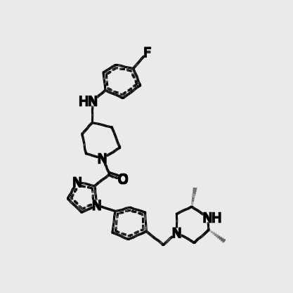 C[C@@H]1CN(Cc2ccc(-n3ccnc3C(=O)N3CCC(Nc4ccc(F)cc4)CC3)cc2)C[C@H](C)N1